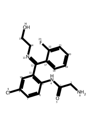 NCC(=O)Nc1ccc(Cl)cc1C(=NCCO)c1ccccc1F